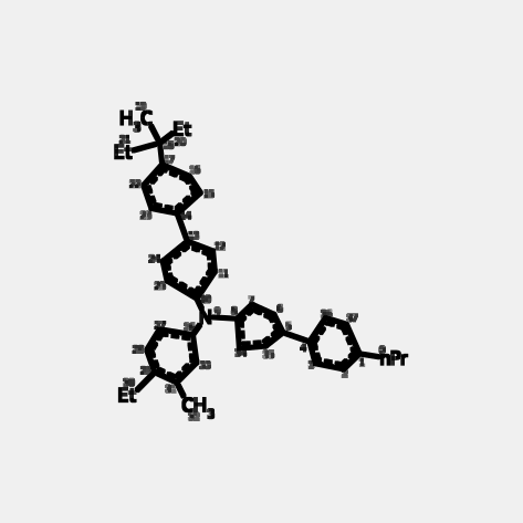 CCCc1ccc(-c2ccc(N(c3ccc(-c4ccc(C(C)(CC)CC)cc4)cc3)c3ccc(CC)c(C)c3)cc2)cc1